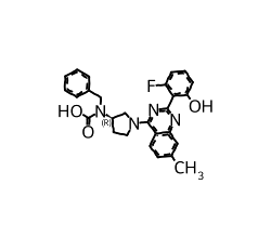 Cc1ccc2c(N3CC[C@@H](N(Cc4ccccc4)C(=O)O)C3)nc(-c3c(O)cccc3F)nc2c1